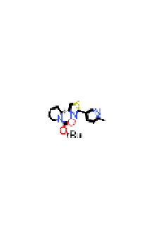 Cc1ccc(-c2nc([C@H]3CCCCN3C(=O)OC(C)(C)C)cs2)cn1